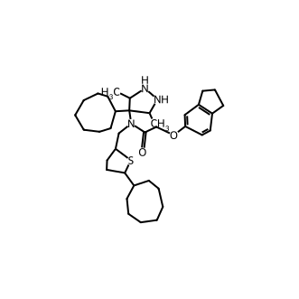 CC1NNC(C)C1(C1CCCCCCC1)N(CC1CCC(C2CCCCCCC2)S1)C(=O)COc1ccc2c(c1)CCC2